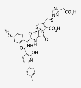 [2H]Oc1ccc(C(NC(=O)c2ccc(-c3ccc(C)cc3)nc2O)C(=O)NC2C(=O)N3C(C(=O)O)=C(CSn4cnc(CC(=O)O)n4)CS[C@@H]23)cc1